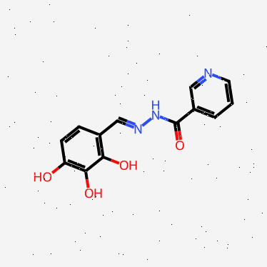 O=C(NN=Cc1ccc(O)c(O)c1O)c1cccnc1